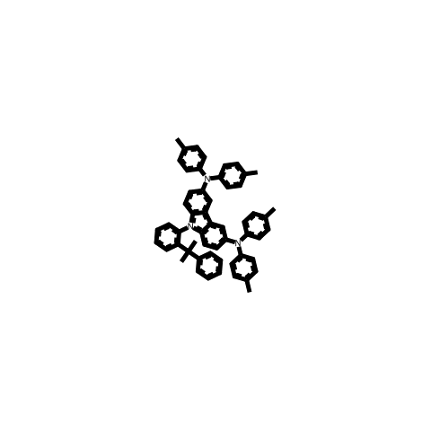 Cc1ccc(N(c2ccc(C)cc2)c2ccc3c(c2)c2cc(N(c4ccc(C)cc4)c4ccc(C)cc4)ccc2n3-c2ccccc2C(C)(C)c2ccccc2)cc1